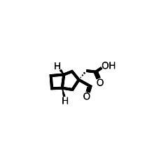 O=C[C@]1(CC(=O)O)C[C@H]2CC[C@H]2C1